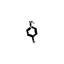 N[n+]1ccc(Br)cc1